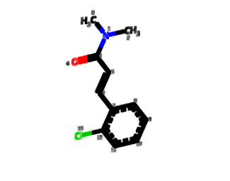 CN(C)C(=O)C=Cc1ccccc1Cl